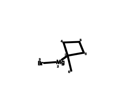 C[C]1([Mg][Br])CCC1